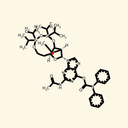 CC(=O)Nc1nc(OC(=O)N(c2ccccc2)c2ccccc2)c2ncn([C@@H]3O[C@@H]4C5O[Si](C(C)C)(C(C)C)O[Si](C(C)C)(C(C)C)OCC4N(C)O[C@@H]53)c2n1